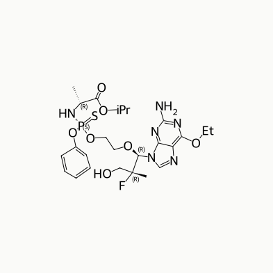 CCOc1nc(N)nc2c1ncn2[C@H](OCCO[P@@](=S)(N[C@H](C)C(=O)OC(C)C)Oc1ccccc1)[C@](C)(F)CO